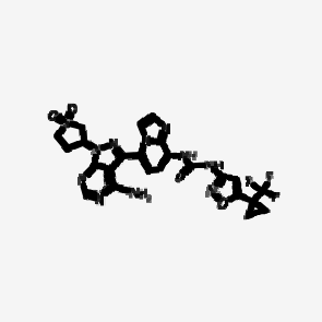 Nc1ncnc2c1c(-c1ccc(NC(=O)Nc3cc(C4(C(F)(F)F)CC4)on3)c3nccn13)nn2C1CCS(=O)(=O)C1